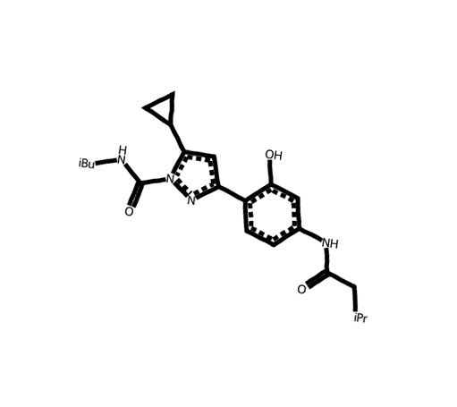 CCC(C)NC(=O)n1nc(-c2ccc(NC(=O)CC(C)C)cc2O)cc1C1CC1